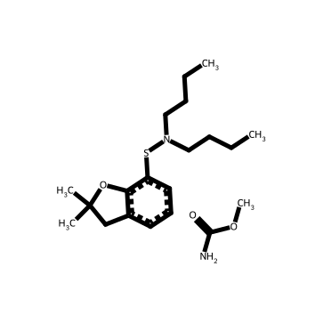 CCCCN(CCCC)Sc1cccc2c1OC(C)(C)C2.COC(N)=O